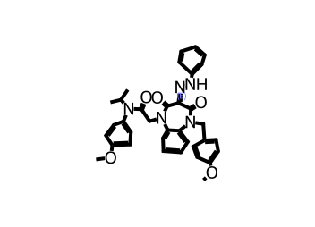 COc1ccc(Cn2c(=O)/c(=N\Nc3ccccc3)c(=O)n(CC(=O)N(c3ccc(OC)cc3)C(C)C)c3ccccc32)cc1